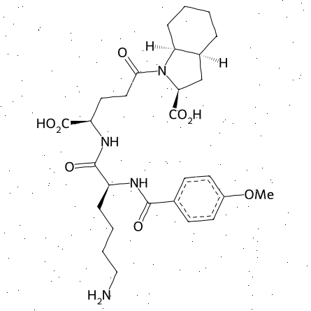 COc1ccc(C(=O)N[C@@H](CCCCN)C(=O)N[C@H](CCC(=O)N2[C@H](C(=O)O)C[C@@H]3CCCC[C@@H]32)C(=O)O)cc1